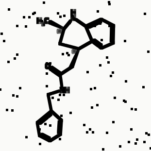 C[C@@H]1C[C@H](CC(=O)NCc2ccccc2)c2ccccc2N1